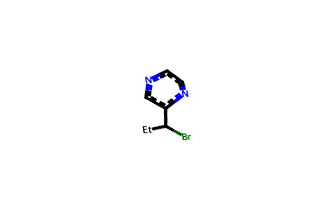 CCC(Br)c1cnccn1